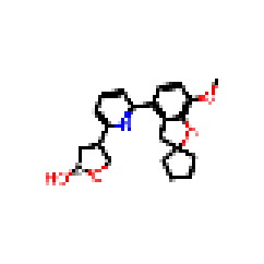 COc1ccc(-c2cccc(C3COB(O)C3)n2)c2c1OC1(CCCC1)C2